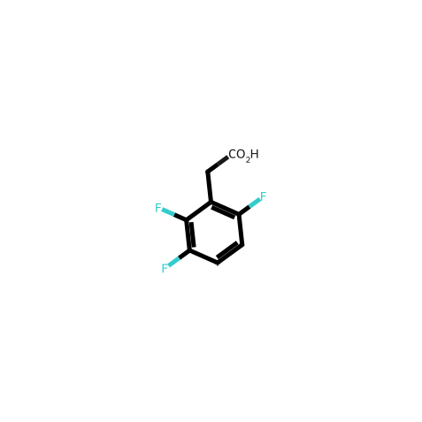 O=C(O)Cc1c(F)c[c]c(F)c1F